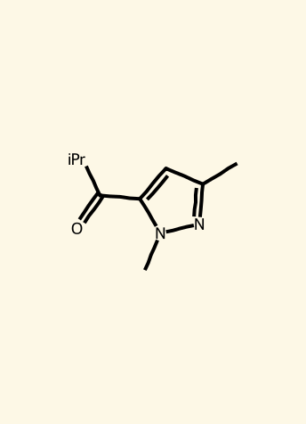 Cc1cc(C(=O)C(C)C)n(C)n1